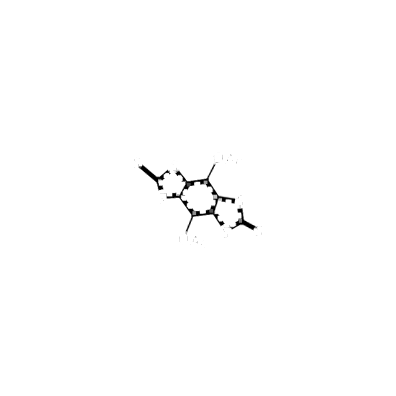 CC(=O)Oc1c2sc(=S)sc2c(OC(C)=O)c2sc(=S)sc12